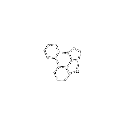 c1cc2oc3ccn4c5cccnc5c(c1)c2c34